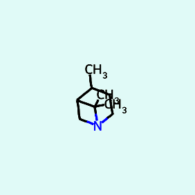 CC1CCN2CC1C2(C)C